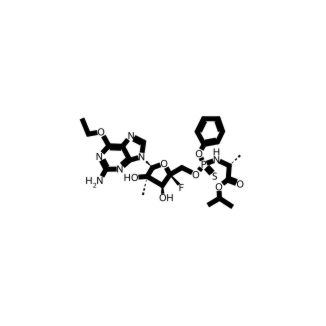 CCOc1nc(N)nc2c1ncn2[C@@H]1O[C@](F)(COP(=S)(N[C@H](C)C(=O)OC(C)C)Oc2ccccc2)[C@@H](O)[C@@]1(C)O